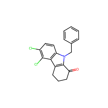 O=C1CCCc2c1n(Cc1ccccc1)c1ccc(Cl)c(Cl)c21